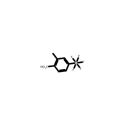 Cc1cc(S(F)(F)(F)(F)F)ccc1C(=O)O